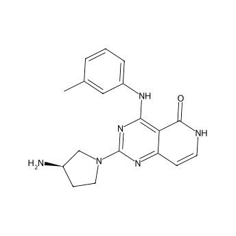 Cc1cccc(Nc2nc(N3CC[C@@H](N)C3)nc3cc[nH]c(=O)c23)c1